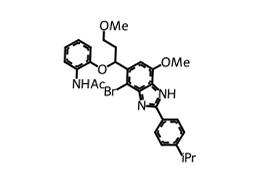 COCCC(Oc1ccccc1NC(C)=O)c1cc(OC)c2[nH]c(-c3ccc(C(C)C)cc3)nc2c1Br